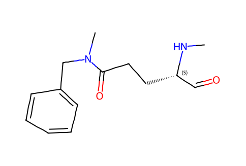 CN[C@H](C=O)CCC(=O)N(C)Cc1ccccc1